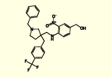 O=[N+]([O-])c1cc(CO)ccc1NCC1(Cc2ccc(C(F)(F)F)cc2)CCN(Cc2ccccc2)C1